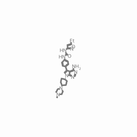 CCc1cc(NC(=O)Nc2ccc(-c3cn([C@H]4CC[C@H](N5CCN(C)CC5)CC4)c4ncnc(N)c34)cc2)no1